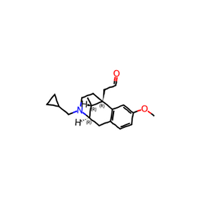 COc1ccc2c(c1)[C@@]1(CC=O)CCN(CC3CC3)[C@H](C2)[C@@H]1C